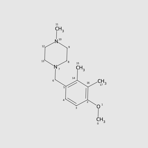 COc1ccc(CN2CCN(C)CC2)c(C)c1C